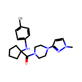 Cn1ccc(N2CCN(C(=O)C3(Nc4ccc(C#N)cc4)CCCC3)CC2)n1